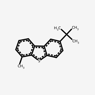 Cc1cccc2c1sc1ccc(C(C)(C)C)cc12